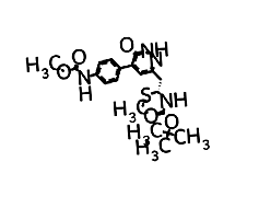 COC(=O)Nc1ccc(-c2cc(C[C@H](NC(=O)OC(C)(C)C)SC)n[nH]c2=O)cc1